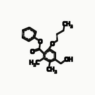 CCCCOc1cc(CO)c(C)c(C)c1C(=O)Oc1ccccc1